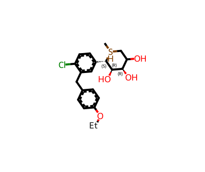 CCOc1ccc(Cc2cc([C@H]3[C@H](O)[C@H](O)C(O)C[SH]3C)ccc2Cl)cc1